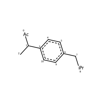 CC(=O)C(C)c1ccc(CC(C)C)cc1